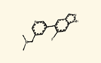 CN(C)Cc1cncc(-c2cc3cn[nH]c3cc2F)c1